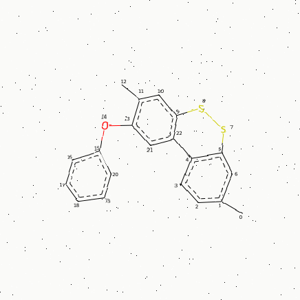 Cc1ccc2c(c1)SSc1cc(C)c(Oc3ccccc3)cc1-2